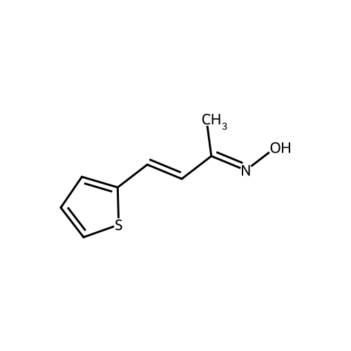 CC(/C=C/c1cccs1)=N\O